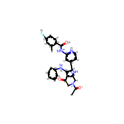 CC(=O)N1CC(=O)c2c([nH]c(-c3ccnc(NC(=O)c4ccc(F)cc4C)c3)c2Nc2ccccc2)C1